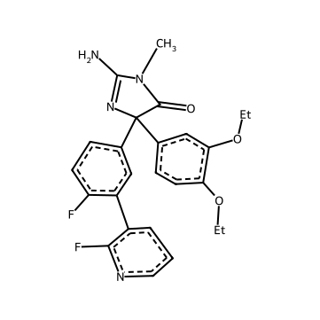 CCOc1ccc(C2(c3ccc(F)c(-c4cccnc4F)c3)N=C(N)N(C)C2=O)cc1OCC